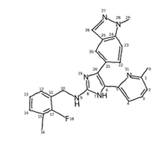 Cc1cccc(-c2[nH]c(NCc3cccc(C)c3F)nc2-c2ccc3c(cnn3C)c2)n1